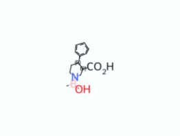 CB(O)N1CC[C@@H](c2ccccc2)[C@@H](C(=O)O)C1